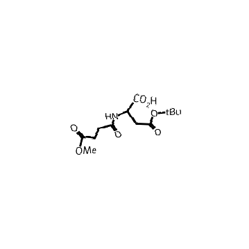 COC(=O)CCC(=O)NC(CC(=O)OC(C)(C)C)C(=O)O